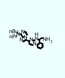 CCCCN(CCC)c1nccn2c(-c3ccnc(NC(CN)c4ccccc4)n3)cnc12